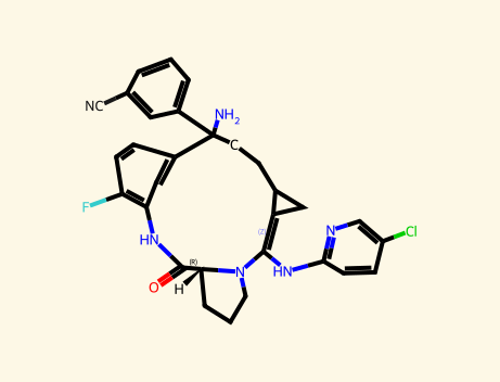 N#Cc1cccc(C2(N)CCC3C/C3=C(\Nc3ccc(Cl)cn3)N3CCC[C@@H]3C(=O)Nc3cc2ccc3F)c1